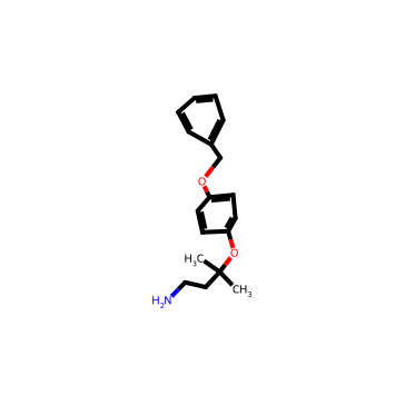 CC(C)(CCN)Oc1ccc(OCc2ccccc2)cc1